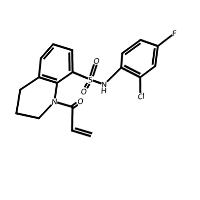 C=CC(=O)N1CCCc2cccc(S(=O)(=O)Nc3ccc(F)cc3Cl)c21